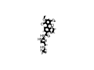 COc1cc(OC)c(Cl)c(-c2ccc(C(=O)Nc3nc(CNCC(F)(F)F)c[nH]3)c3nccnc23)c1Cl